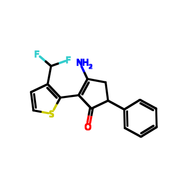 NC1=C(c2sccc2C(F)F)C(=O)C(c2ccccc2)C1